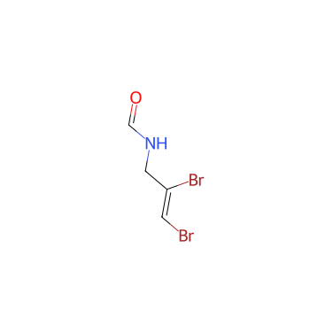 O=CNCC(Br)=CBr